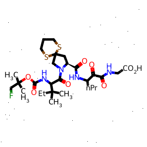 CCCC(NC(=O)[C@@H]1CC2(CN1C(=O)C(NC(=O)OC(C)(C)CF)C(C)(C)CC)SCCCS2)C(=O)C(=O)NCC(=O)O